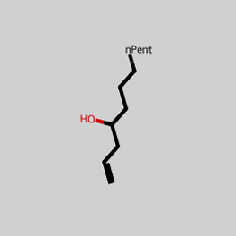 C=CCC(O)CCCCCCCC